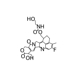 CC[C@@]1(O)C(=O)OCc2c1cc1n(c2=O)Cc2c-1nc1cc(F)c(C)c3c1c2C(COC(=O)NCCO)CC3